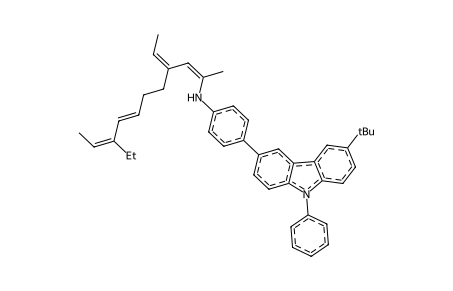 C/C=C(\C=C(\C)Nc1ccc(-c2ccc3c(c2)c2cc(C(C)(C)C)ccc2n3-c2ccccc2)cc1)CC/C=C/C(=C\C)CC